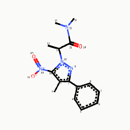 Cc1c(-c2ccccc2)nn(C(C)C(=O)N(C)C)c1[N+](=O)[O-]